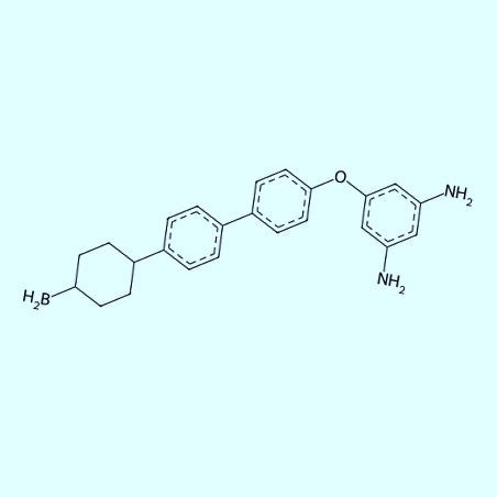 BC1CCC(c2ccc(-c3ccc(Oc4cc(N)cc(N)c4)cc3)cc2)CC1